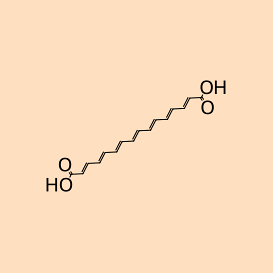 O=C(O)C=CC=CC=CC=CC=CC=CC=CC(=O)O